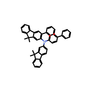 CC1(C)c2ccccc2-c2ccc(N(c3ccc(-c4ccccc4)cc3)c3cc4c(cc3-c3ccccc3)-c3ccccc3C4(C)C)cc21